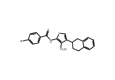 CCOC(=O)c1c(C2CCc3ccccc3C2)csc1NC(=O)c1ccc(Br)cc1